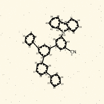 N#Cc1cc(-c2cc(-c3ccccc3)cc(-c3cccc(-c4ccccc4)c3)c2)cc(-n2c3ccccc3c3ccccc32)c1